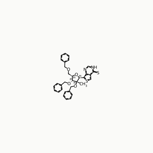 C[C@@]1(OCc2ccccc2)[C@H](OCc2ccccc2)[C@@H](COCc2ccccc2)O[C@H]1c1scc2c(=S)[nH]cnc12